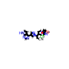 N#CCC(C1CCN(C2C3=CC=C(Cl)N2O3)C1)n1cc(-c2ncnc3[nH]ccc23)cn1